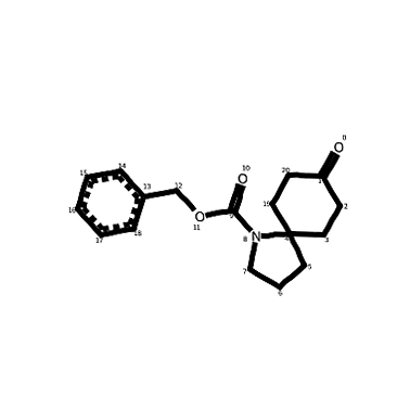 O=C1CCC2(CCCN2C(=O)OCc2ccccc2)CC1